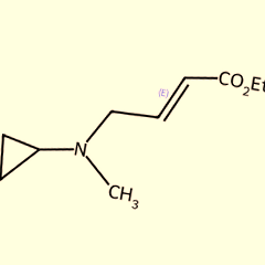 CCOC(=O)/C=C/CN(C)C1CC1